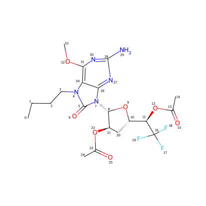 CCCCn1c(=O)n([C@@H]2O[C@H]([C@@H](OC(C)=O)C(F)(F)F)C[C@H]2OC(C)=O)c2nc(N)nc(OC)c21